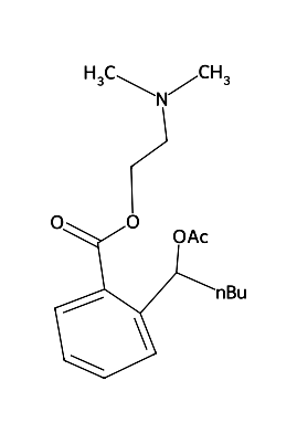 CCCCC(OC(C)=O)c1ccccc1C(=O)OCCN(C)C